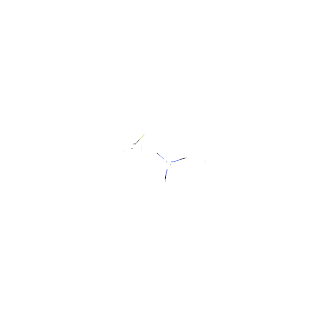 CN(C)C.[SiH3]S